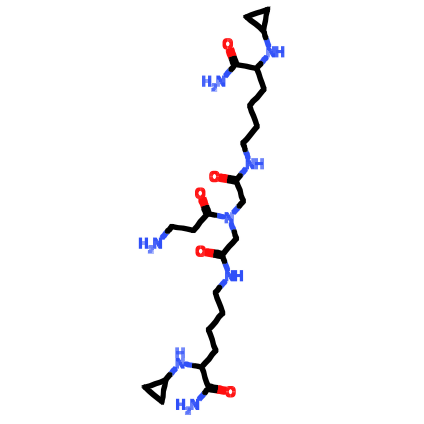 NCCC(=O)N(CC(=O)NCCCCC(NC1CC1)C(N)=O)CC(=O)NCCCCC(NC1CC1)C(N)=O